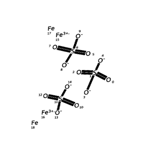 O=S(=O)([O-])[O-].O=S(=O)([O-])[O-].O=S(=O)([O-])[O-].[Fe+3].[Fe+3].[Fe].[Fe]